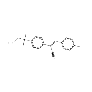 CC(C)(CN)c1ccc(/C(C#N)=C/c2ccc(Br)cc2)cc1